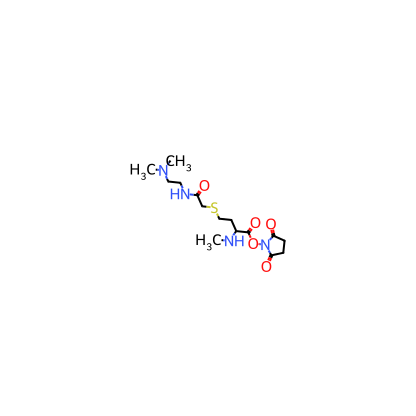 CNC(CCSCC(=O)NCCN(C)C)C(=O)ON1C(=O)CCC1=O